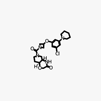 O=C1CO[C@H]2CCN(C(=O)N3CC(Oc4cc(Cl)cc(N5CCCCC5)c4)C3)C[C@H]2N1